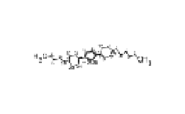 CCCCCCC1CC=C(c2ccc(C3CCC(CCCCC)CC3)cc2)CC1